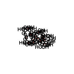 C[C@H]1c2c(O)c(O)c(O)c3c2C(=O)O[C@@H]1[C@H]1OC(=O)c2c(c(O)c(O)c(O)c2-3)-c2c(cc(O)c(O)c2O)C(=O)O[C@@H]2COC(=O)c3c(c(O)c(O)c(O)c3[C@H]3c4c(O)c(O)c(O)c5c4C(=O)O[C@@H]3[C@H]3OC(=O)c4c(c(O)c(O)c(O)c4-5)-c4c(cc(O)c(O)c4O)C(=O)O[C@@H]4COC(=O)c5cc(O)c(O)c(O)c5-c5c(cc(O)c(O)c5O)C(=O)O[C@@H]34)-c3c(cc(O)c(O)c3O)C(=O)O[C@@H]12